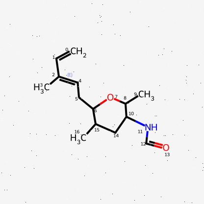 C=C/C(C)=C/CC1OC(C)C(NC=O)CC1C